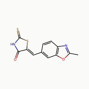 Cc1nc2ccc(/C=C3\SC(=S)NC3=O)cc2o1